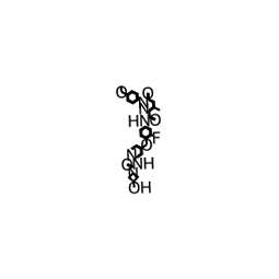 COc1ccc(-n2nc(C(=O)Nc3ccc(Oc4ccnc(NC(=O)N5CC(O)C5)c4)c(F)c3)c(C)cc2=O)cc1